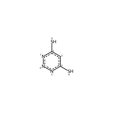 Sc1cc(S)nnn1